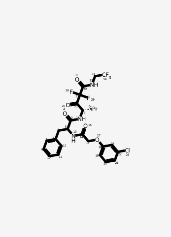 CC(C)[C@H](NC(=O)C(Cc1ccccc1)NC(=O)COc1cccc(Cl)c1)C(=O)C(F)(F)C(=O)NCC(F)(F)F